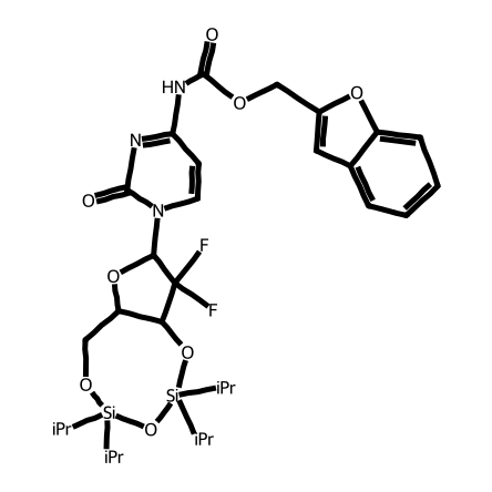 CC(C)[Si]1(C(C)C)OCC2OC(n3ccc(NC(=O)OCc4cc5ccccc5o4)nc3=O)C(F)(F)C2O[Si](C(C)C)(C(C)C)O1